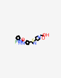 O=C(O)CN1CCC(c2ncc(-c3ccc(NC(=O)Nc4ccccc4F)cc3)s2)CC1